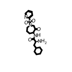 N[C@@H](CC1CCCCC1)C(=O)NC1CCCN(S(=O)(=O)c2ccccn2)CC1=O